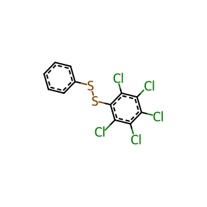 Clc1c(Cl)c(Cl)c(SSc2ccccc2)c(Cl)c1Cl